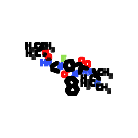 CN(C)CC(C)(C)CNC(=O)c1cn2c3c(c(N4CCC(NOCOC(C)(C)C)C4)c(F)cc3c1=O)Oc1cc3ccccc3cc1-2